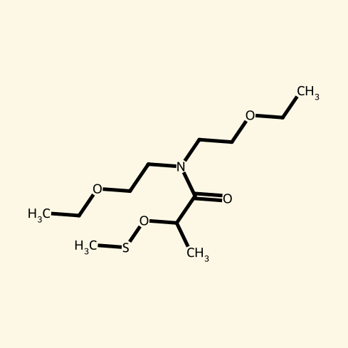 CCOCCN(CCOCC)C(=O)C(C)OSC